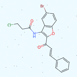 O=C(CCCl)Nc1c(C(=O)C=Cc2ccccc2)oc2ccc(Br)cc12